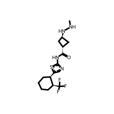 CNN[C@H]1C[C@H](C(=O)Nc2ncc([C@@H]3CCCC[C@@H]3C(F)(F)F)s2)C1